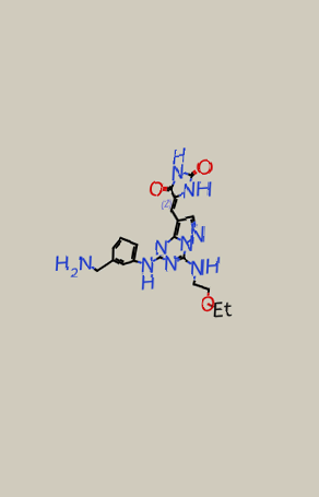 CCOCCNc1nc(Nc2cccc(CN)c2)nc2c(/C=C3\NC(=O)NC3=O)cnn12